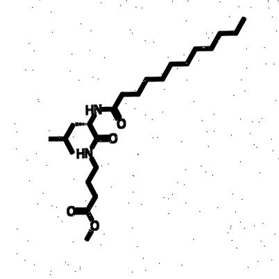 CCCCCCCCCCCC(=O)N[C@@H](CC(C)C)C(=O)NCCCC(=O)OC